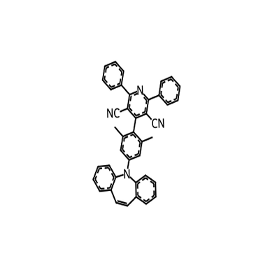 Cc1cc(N2c3ccccc3C=Cc3ccccc32)cc(C)c1-c1c(C#N)c(-c2ccccc2)nc(-c2ccccc2)c1C#N